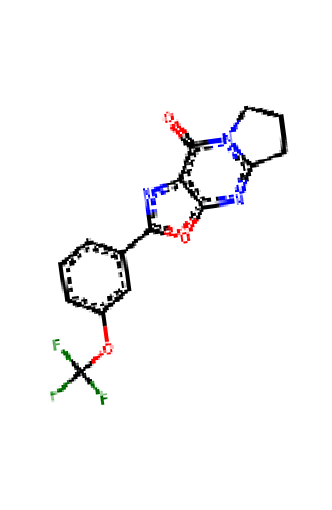 O=c1c2nc(-c3cccc(OC(F)(F)F)c3)oc2nc2n1CCC2